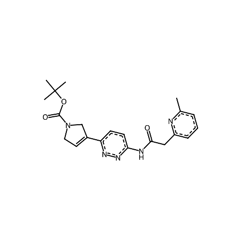 Cc1cccc(CC(=O)Nc2ccc(C3=CCN(C(=O)OC(C)(C)C)C3)nn2)n1